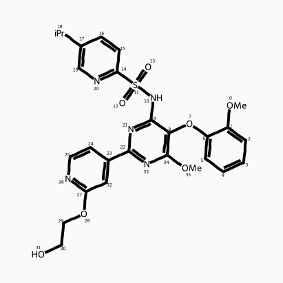 COc1ccccc1Oc1c(NS(=O)(=O)c2ccc(C(C)C)cn2)nc(-c2ccnc(OCCO)c2)nc1OC